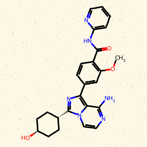 COc1cc(-c2nc([C@H]3CC[C@H](O)CC3)n3ccnc(N)c23)ccc1C(=O)Nc1ccccn1